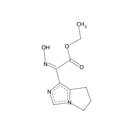 CCOC(=O)C(=NO)c1ncn2c1CCC2